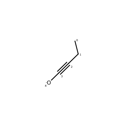 CCC#C[O]